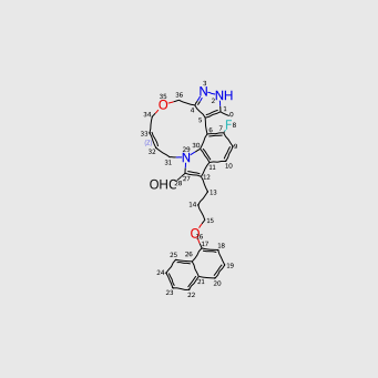 Cc1[nH]nc2c1-c1c(F)ccc3c(CCCOc4cccc5ccccc45)c(C=O)n(c13)C/C=C\COC2